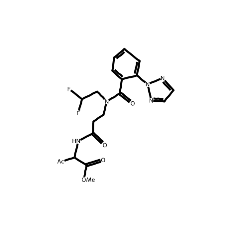 COC(=O)C(NC(=O)CCN(CC(F)F)C(=O)c1ccccc1-n1nccn1)C(C)=O